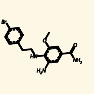 COc1cc(C(N)=O)cc(N)c1NCCc1ccc(Br)cc1